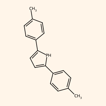 Cc1ccc(-c2ccc(-c3ccc(C)cc3)[pH]2)cc1